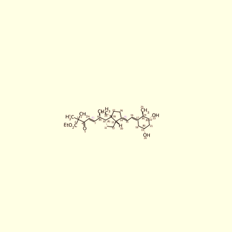 CCOC(=O)C(C)(C)C(=O)/C=C/[C@@H](C)[C@H]1CC[C@H]2/C(=C/C=C3C[C@@H](O)C[C@@H](O)[C@@H]3C)CC[C@]12C